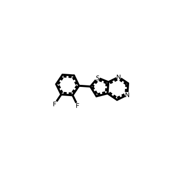 Fc1cccc(-c2cc3cncnc3s2)c1F